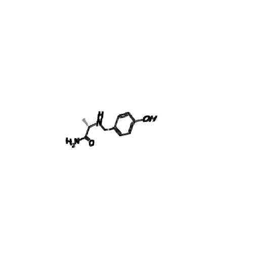 C[C@H](NCc1ccc(O)cc1)C(N)=O